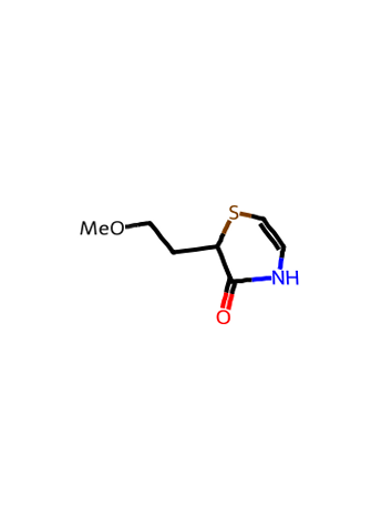 COCCC1SC=CNC1=O